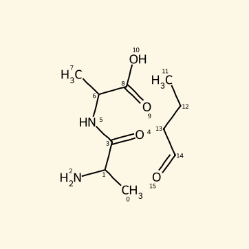 CC(N)C(=O)NC(C)C(=O)O.CCCC=O